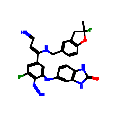 CC1(F)Cc2cc(CN/C(=C\C=N)c3cc(F)c(N=N)c(Nc4ccc5[nH]c(=O)[nH]c5c4)c3)ccc2O1